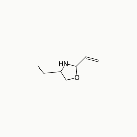 C=CC1NC(CC)CO1